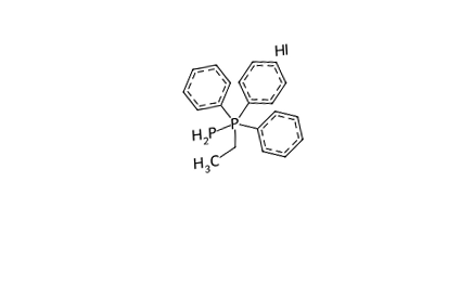 CCP(P)(c1ccccc1)(c1ccccc1)c1ccccc1.I